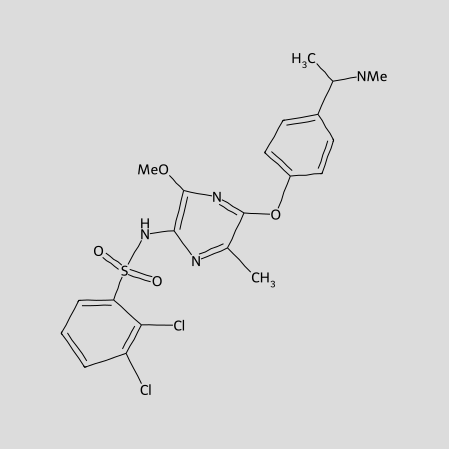 CNC(C)c1ccc(Oc2nc(OC)c(NS(=O)(=O)c3cccc(Cl)c3Cl)nc2C)cc1